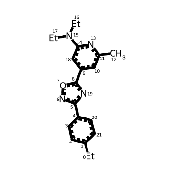 CCc1ccc(-c2noc(-c3cc(C)nc(N(CC)CC)c3)n2)cc1